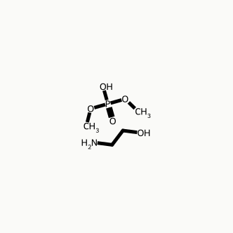 COP(=O)(O)OC.NCCO